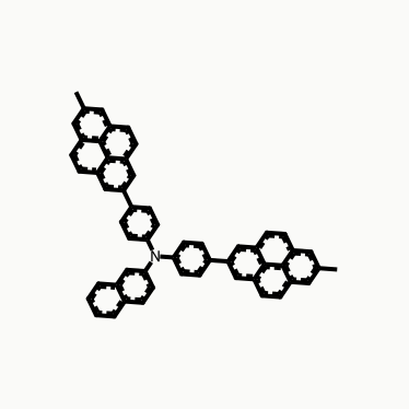 Cc1cc2ccc3cc(-c4ccc(N(c5ccc(-c6cc7ccc8cc(C)cc9ccc(c6)c7c89)cc5)c5ccc6ccccc6c5)cc4)cc4ccc(c1)c2c34